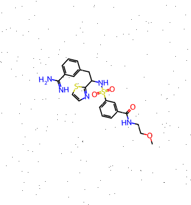 COCCNC(=O)c1cccc(S(=O)(=O)NC(Cc2cccc(C(=N)N)c2)c2nccs2)c1